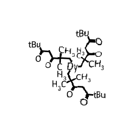 CC(C)(C)C(=O)CC(=O)C(C)(C)[CH2][Dy]([CH2]C(C)(C)C(=O)CC(=O)C(C)(C)C)[CH2]C(C)(C)C(=O)CC(=O)C(C)(C)C